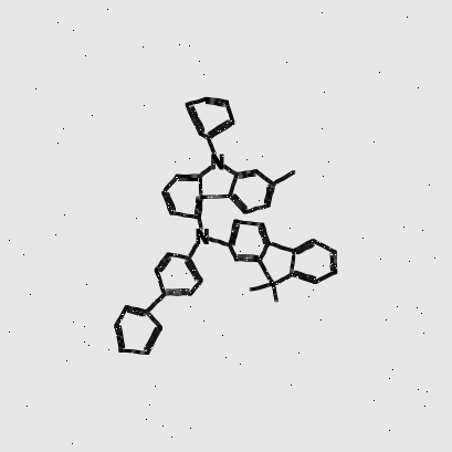 Cc1ccc2c3c(N(c4ccc(-c5ccccc5)cc4)c4ccc5c(c4)C(C)(C)c4ccccc4-5)cccc3n(-c3ccccc3)c2c1